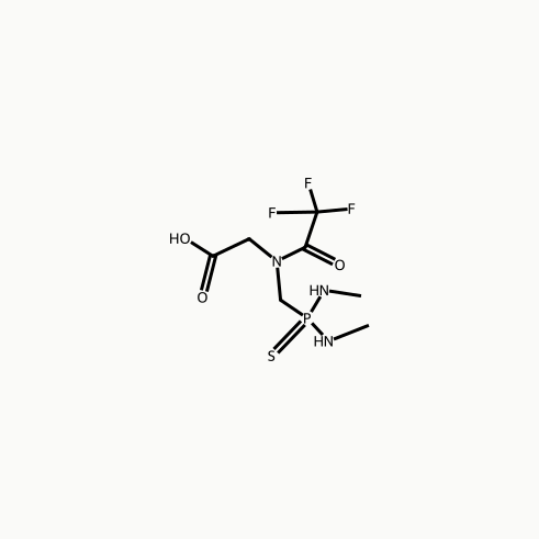 CNP(=S)(CN(CC(=O)O)C(=O)C(F)(F)F)NC